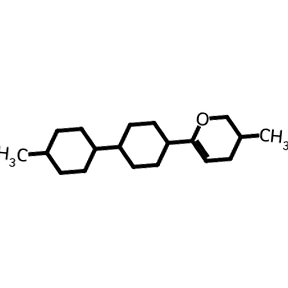 CC1CCC(C2CCC(C3=CCC(C)CO3)CC2)CC1